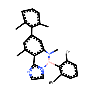 Cc1cccc(C)c1-c1cc(C)c2c(c1)N(C)B(c1c(C(C)C)cccc1C(C)C)n1ccnc1-2